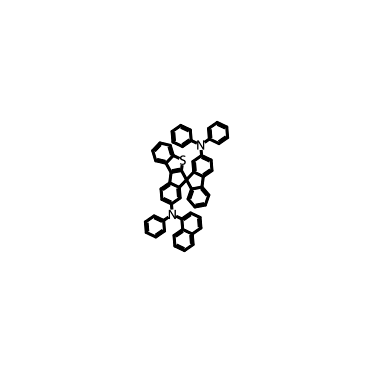 c1ccc(N(c2ccccc2)c2ccc3c(c2)C2(c4ccccc4-3)c3cc(N(c4ccccc4)c4cccc5ccccc45)ccc3-c3c2sc2ccccc32)cc1